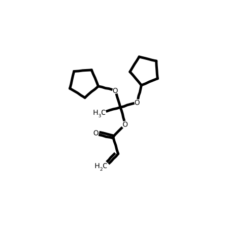 C=CC(=O)OC(C)(OC1CCCC1)OC1CCCC1